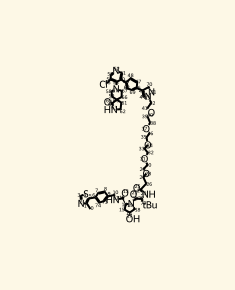 Cc1ncsc1-c1ccc(CNC(=O)[C@@H]2C[C@@H](O)CN2C(=O)C(NC(=O)CCOCCOCCOCCOCCOCCn2cc(-c3ccc(-c4cncc(Cl)c4N4CCC5(CCNC5=O)CC4)cc3)cn2)C(C)(C)C)cc1